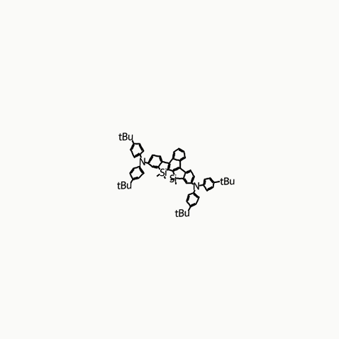 CC(C)(C)c1ccc(N(c2ccc(C(C)(C)C)cc2)c2ccc3c(c2)[Si](C)(C)c2c4c(c5ccccc5c2-3)-c2ccc(N(c3ccc(C(C)(C)C)cc3)c3ccc(C(C)(C)C)cc3)cc2[Si]4(C)C)cc1